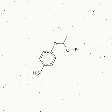 CCOC(C)Oc1ccc([SiH3])cc1